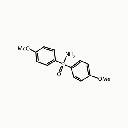 COc1ccc(P(N)(=O)c2ccc(OC)cc2)cc1